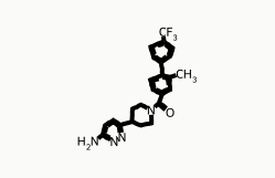 Cc1cc(C(=O)N2CCC(c3ccc(N)nn3)CC2)ccc1-c1ccc(C(F)(F)F)cc1